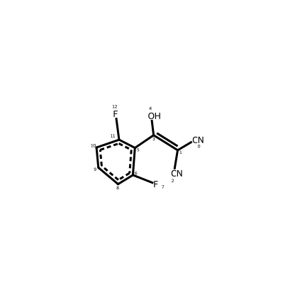 N#CC(C#N)=C(O)c1c(F)cccc1F